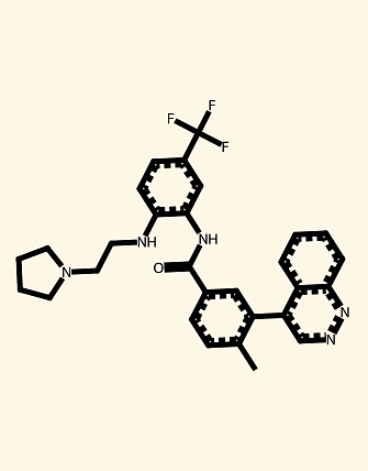 Cc1ccc(C(=O)Nc2cc(C(F)(F)F)ccc2NCCN2CCCC2)cc1-c1cnnc2ccccc12